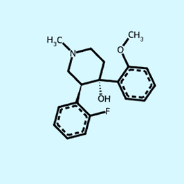 COc1ccccc1[C@]1(O)CCN(C)C[C@@H]1c1ccccc1F